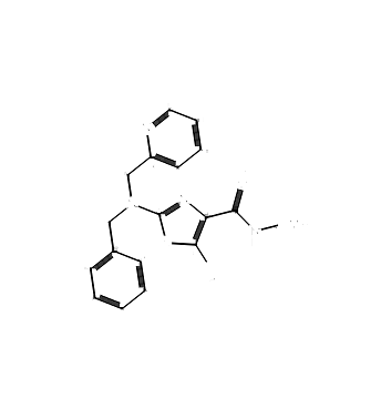 CSNC(=O)c1nc(N(Cc2ccccc2)Cc2ccccn2)sc1C